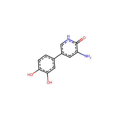 Nc1cc(-c2ccc(O)c(O)c2)c[nH]c1=O